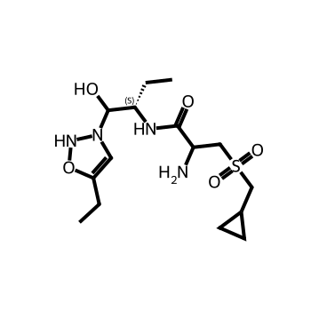 CCC1=CN(C(O)[C@H](CC)NC(=O)C(N)CS(=O)(=O)CC2CC2)NO1